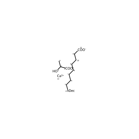 CC(O)C(=O)[O-].CCCCCCCCCCCCCCCCCC(=O)[O-].[Ca+2]